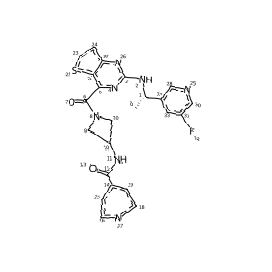 C[C@H](Nc1nc(C(=O)N2CC(NC(=O)c3ccncc3)C2)c2sccc2n1)c1cncc(F)c1